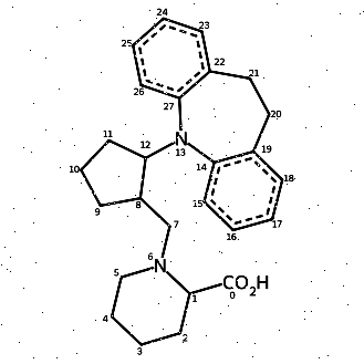 O=C(O)C1CCCCN1CC1CCCC1N1c2ccccc2CCc2ccccc21